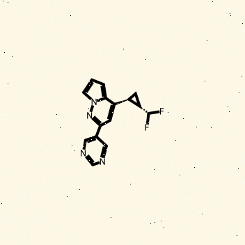 FC(F)[C@H]1C[C@@H]1c1cc(-c2cncnc2)nn2cccc12